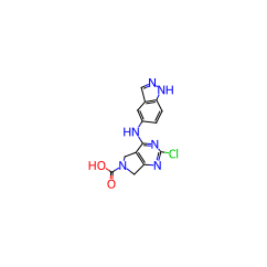 O=C(O)N1Cc2nc(Cl)nc(Nc3ccc4[nH]ncc4c3)c2C1